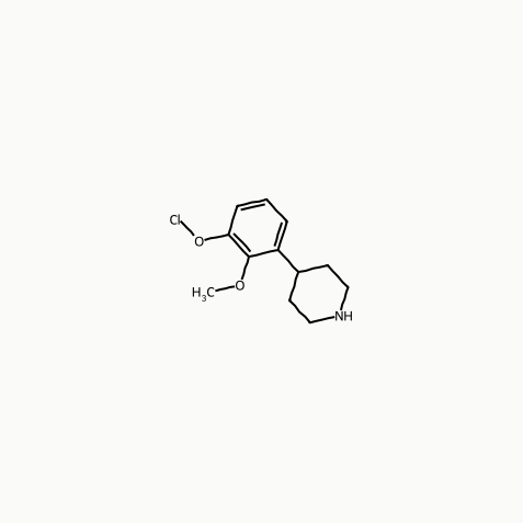 COc1c(OCl)cccc1C1CCNCC1